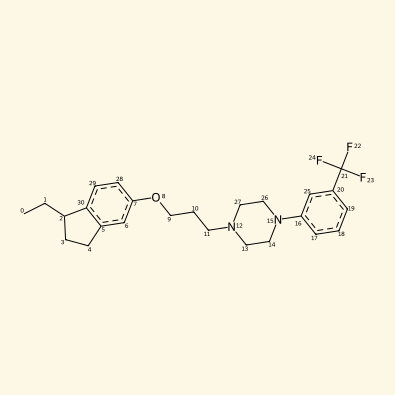 CCC1CCc2cc(OCCCN3CCN(c4cccc(C(F)(F)F)c4)CC3)ccc21